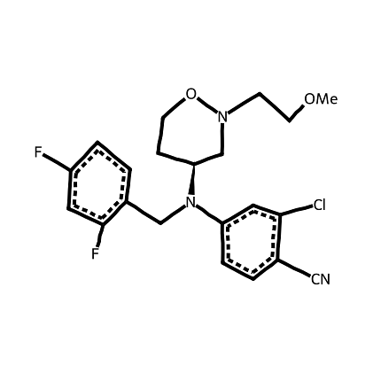 COCCN1C[C@@H](N(Cc2ccc(F)cc2F)c2ccc(C#N)c(Cl)c2)CCO1